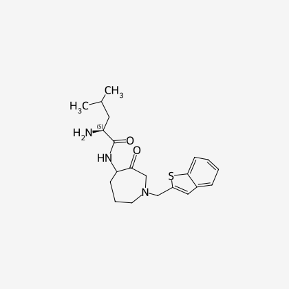 CC(C)C[C@H](N)C(=O)NC1CCCN(Cc2cc3ccccc3s2)CC1=O